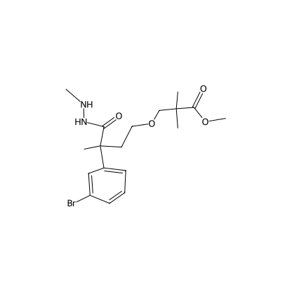 CNNC(=O)C(C)(CCOCC(C)(C)C(=O)OC)c1cccc(Br)c1